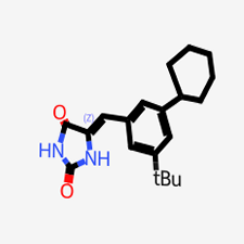 CC(C)(C)c1cc(/C=C2\NC(=O)NC2=O)cc(C2CCCCC2)c1